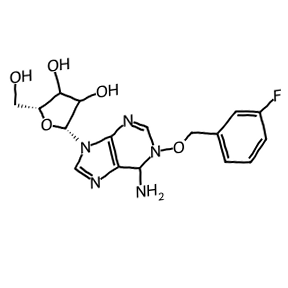 NC1c2ncn([C@@H]3O[C@H](CO)C(O)C3O)c2N=CN1OCc1cccc(F)c1